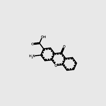 Nc1cc2oc3ccccc3c(=O)c2cc1C(=O)O